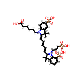 CC1(C)C(/C=C/C=C/C=C2/N(CCCCCC(=O)O)c3ccc(S(=O)(=O)O)cc3C2(C)C)=[N+](CCCS(=O)(=O)O)c2c1cccc2S(=O)(=O)O